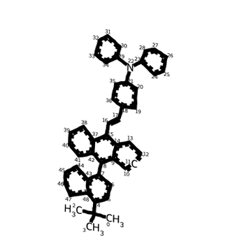 CC(C)(C)c1ccc(-c2c3ccccc3c(/C=C/c3ccc(N(c4ccccc4)c4ccccc4)cc3)c3ccccc23)c2ccccc12